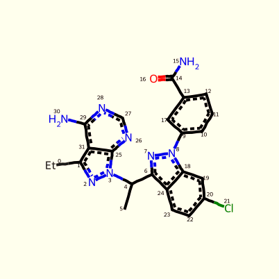 CCc1nn(C(C)c2nn(-c3cccc(C(N)=O)c3)c3cc(Cl)ccc23)c2ncnc(N)c12